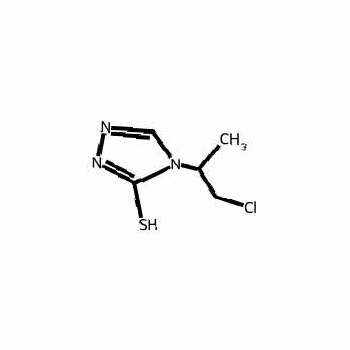 CC(CCl)n1cnnc1S